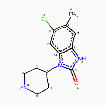 Cc1cc2[nH]c(=O)n(C3CCNCC3)c2cc1Cl